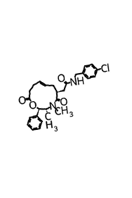 C[C@@H]1[C@@H](c2ccccc2)OC(=O)CC/C=C/C[C@@H](CC(=O)NCc2ccc(Cl)cc2)C(=O)N1C